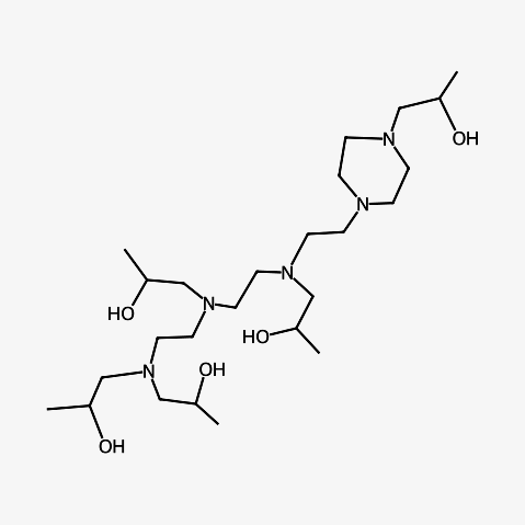 CC(O)CN1CCN(CCN(CCN(CCN(CC(C)O)CC(C)O)CC(C)O)CC(C)O)CC1